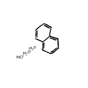 Cl.O.O.c1ccc2ncccc2c1